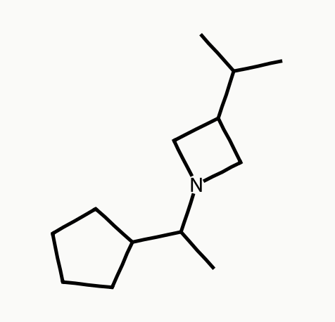 CC(C)C1CN(C(C)C2CCCC2)C1